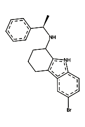 C[C@@H](NC1CCCc2c1[nH]c1ccc(Br)cc21)c1ccccc1